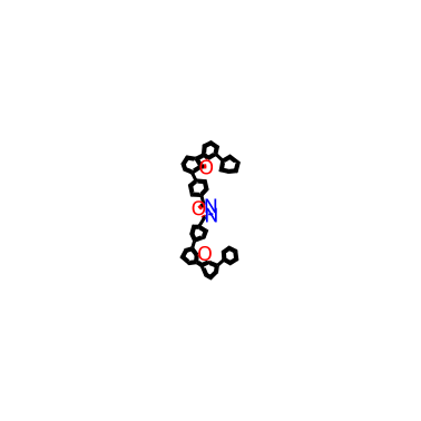 c1ccc(-c2cccc3c2oc2c(-c4ccc(-c5nnc(-c6ccc(-c7cccc8c7oc7c(-c9ccccc9)cccc78)cc6)o5)cc4)cccc23)cc1